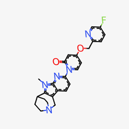 Cn1c2c(c3ccc(-n4ccc(OCc5ccc(F)cn5)cc4=O)nc31)CN1CCC2CC1